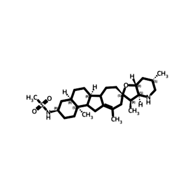 CC1=C2CC3[C@@H](CC[C@@H]4C[C@H](NS(C)(=O)=O)CC[C@]34C)C2CC[C@@]2(C1)O[C@@H]1C[C@H](C)CN[C@H]1[C@H]2C